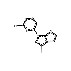 Cc1nn(-c2ccnc(Cl)n2)c2sccc12